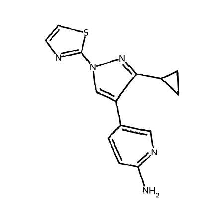 Nc1ccc(-c2cn(-c3nccs3)nc2C2CC2)cn1